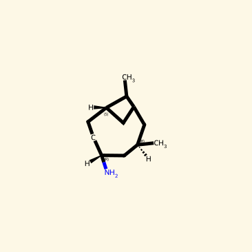 CC1C2C[C@@H](C)C[C@H](N)CC[C@H]1C2